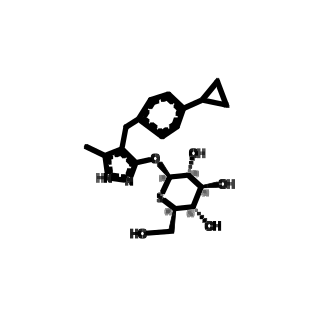 Cc1[nH]nc(O[C@@H]2S[C@H](CO)[C@@H](O)[C@H](O)[C@H]2O)c1Cc1ccc(C2CC2)cc1